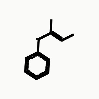 CC=C(C)[CH]c1ccccc1